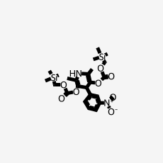 CC1=C(OC(=O)OC[Si](C)(C)C)C(c2cccc([N+](=O)[O-])c2)C(OC(=O)OC[Si](C)(C)C)=C(C)N1